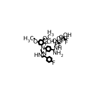 CCOc1cc(OC(C)C)c(F)c(N(Cc2nc(-c3ccc(F)cc3)c[nH]2)c2ccc(C(=N)N)cc2)c1.O=C(O)C(F)(F)F.O=C(O)C(F)(F)F